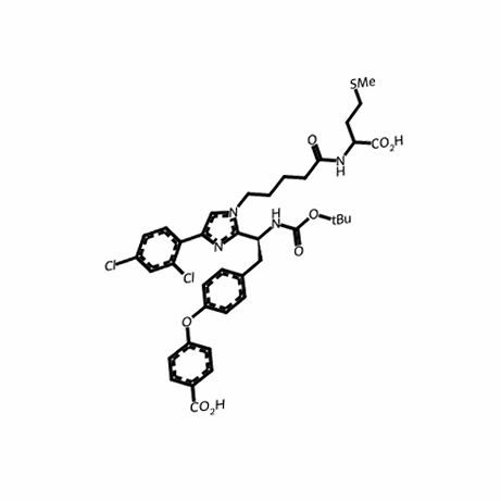 CSCCC(NC(=O)CCCCn1cc(-c2ccc(Cl)cc2Cl)nc1[C@H](Cc1ccc(Oc2ccc(C(=O)O)cc2)cc1)NC(=O)OC(C)(C)C)C(=O)O